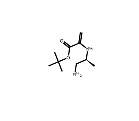 C=C(N[C@@H](C)CN)C(=O)OC(C)(C)C